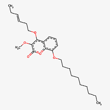 CCC=CCCOc1c(OC)c(=O)oc2c(OCCCCCCCCCC)cccc12